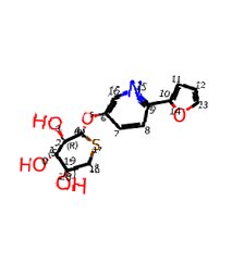 O[C@@H]1[C@@H](O)[C@H](Oc2ccc(-c3ccco3)nc2)SC[C@H]1O